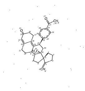 C=C1CCC[C@]12CCC1C3CCC4=CC(=O)CCC4=C3[C@@H](c3ccc(C(C)=O)cc3)C[C@@]12C